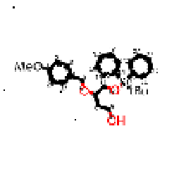 COc1ccc(COC(CCO)CO[Si](c2ccccc2)(c2ccccc2)C(C)(C)C)cc1